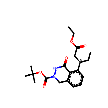 CCOC(=O)C[C@@H](CC)c1cccc2c1C(=O)NN(C(=O)OC(C)(C)C)C2